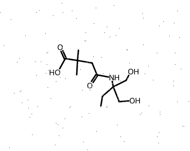 CCC(CO)(CO)NC(=O)CC(C)(C)C(=O)O